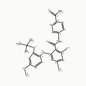 BC(B)(B)Oc1cc(OC(F)(F)F)ccc1Oc1cc(C(F)(F)F)cc(F)c1C(=O)Nc1ccc(C(N)=O)nc1